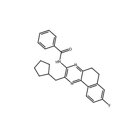 O=C(Nc1nc2c(nc1CC1CCCC1)-c1ccc(F)cc1CC2)c1ccccc1